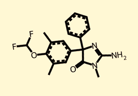 Cc1cc(C2(c3ccccc3)N=C(N)N(C)C2=O)cc(C)c1OC(F)F